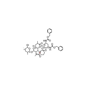 CCC1O[C@H](OC2O[C@H]3CC(C)[C@@H](O[C@@H]4C(NC(=O)OCc5ccccc5)C[C@@H](NC(=O)OCc5ccccc5)C5OC6(CCCCC6)O[C@H]54)OC3C3OC(=O)N(C)C23)C(C)C[C@@H]1C